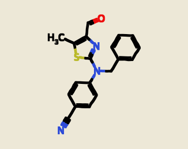 Cc1sc(N(Cc2ccccc2)c2ccc(C#N)cc2)nc1C=O